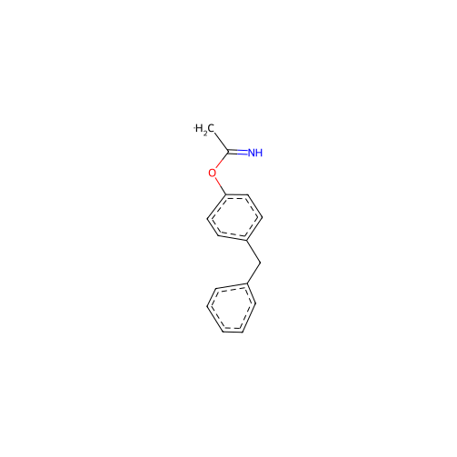 [CH2]C(=N)Oc1ccc(Cc2ccccc2)cc1